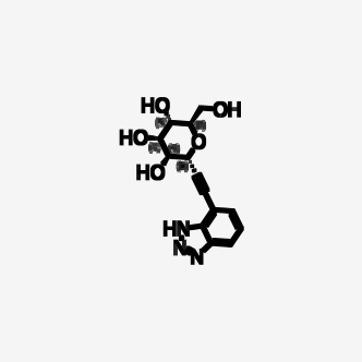 OC[C@H]1O[C@H](C#Cc2cccc3nn[nH]c23)[C@@H](O)[C@@H](O)[C@@H]1O